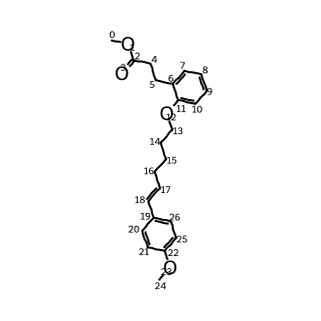 COC(=O)CCc1ccccc1OCCCCC=Cc1ccc(OC)cc1